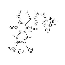 C[CH2][Hg].O=C([O-])c1ccccc1O.O=C([O-])c1ccccc1O.O=C([O-])c1ccccc1O.[Na+].[SH4+2]